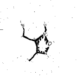 Cc1no[n+]([O-])c1CBr